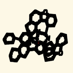 c1ccc(-c2ccc(-c3nc(-c4cccc5oc6ccccc6c45)nc(-c4cccc5oc6ccc7ccc(-n8c9cc%10ccccc%10cc9c9cc%10ccccc%10cc98)cc7c6c45)n3)cc2)cc1